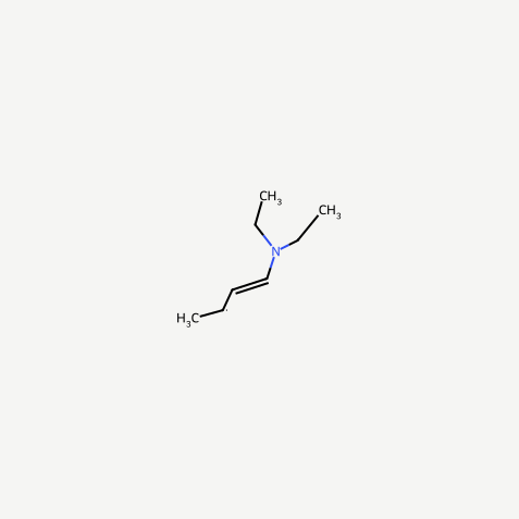 C[CH]/C=C/N(CC)CC